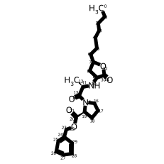 CCCCCCCC1CC(N[C@@H](C)C(=O)N2CCC[C@H]2C(=O)OCc2ccccc2)C(=O)O1